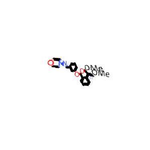 CO/C=C(\C(=O)OC)c1ccccc1COc1cccc(/C=N/N2CCOCC2)c1